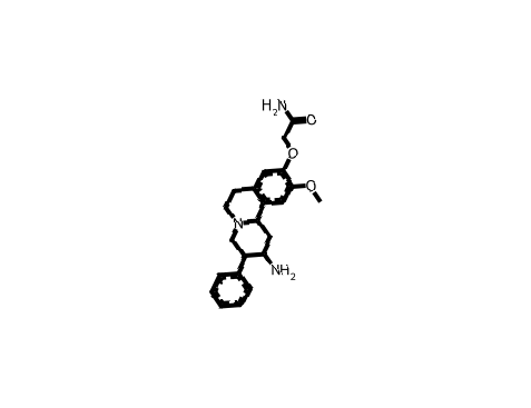 COc1cc2c(cc1OCC(N)=O)CCN1CC(c3ccccc3)C(N)CC21